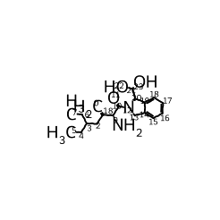 C=C(CC(CC)CC)[C@H](N)C(=O)N1Cc2ccccc2C1C(O)O